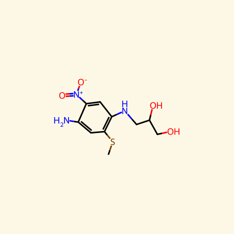 CSc1cc(N)c([N+](=O)[O-])cc1NCC(O)CO